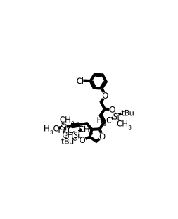 CC(C)(C)[Si](C)(C)OC(/C=C/C1OCC(O[Si](C)(C)C(C)(C)C)C1CC#C[Si](C)(C)C)COc1cccc(Cl)c1